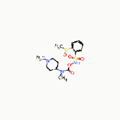 CN1CCC(N(C)C(=O)ONS(=O)(=O)c2ccccc2[S+](C)[O-])CC1